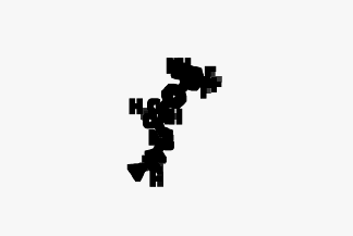 C[C@@H](NC(=O)c1csc(C2=CNN(C3CC3)C2)n1)c1ccc(-c2cc(C(F)(F)F)ccc2CN)cc1